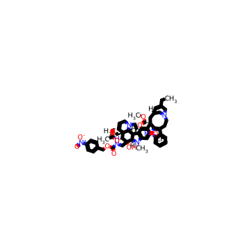 CCC1=C[C@@H]2CN(CCc3c([nH]c4ccccc34)[C@@](C(=O)OC)(c3cc4c(cc3OC)N(C)[C@H]3C(O)(CNC(=O)OCc5ccc([N+](=O)[O-])cc5)[C@H](OC(C)=O)[C@]5(CC)C=CCN6CC[C@]43[C@@H]65)C2)C1